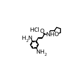 Cl.Nc1ccc(N)c(/C=C/C(=O)NCC2CCCO2)c1